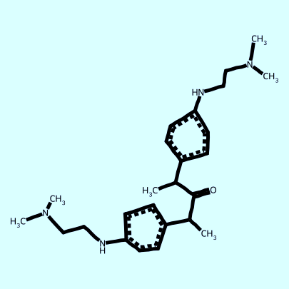 CC(C(=O)C(C)c1ccc(NCCN(C)C)cc1)c1ccc(NCCN(C)C)cc1